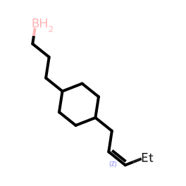 BCCCC1CCC(C/C=C\CC)CC1